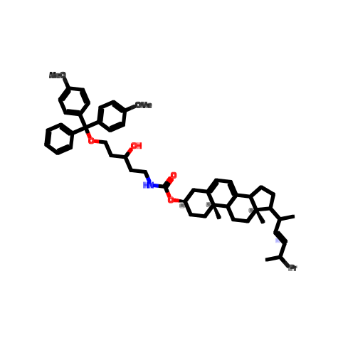 COc1ccc(C(OCCC(O)CCNC(=O)O[C@@H]2CC[C@]3(C)C(=CC=C4C5CCC(C(C)/C=C/C(C)C(C)C)[C@]5(C)CCC43)C2)(c2ccccc2)c2ccc(OC)cc2)cc1